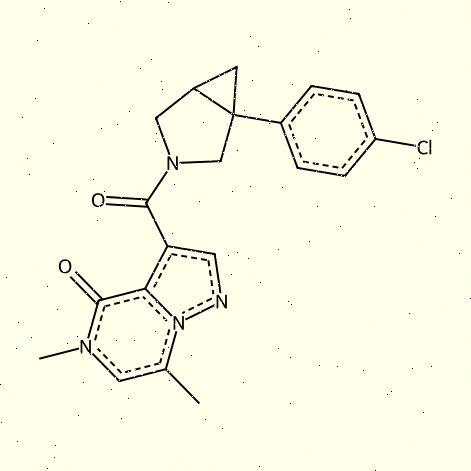 Cc1cn(C)c(=O)c2c(C(=O)N3CC4CC4(c4ccc(Cl)cc4)C3)cnn12